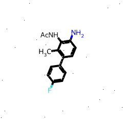 CC(=O)Nc1c(N)ccc(-c2ccc(F)cc2)c1C